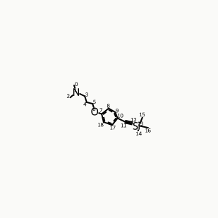 CN(C)CCCOc1ccc(C#C[Si](C)(C)C)cc1